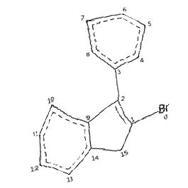 BrC1=C(c2ccccc2)c2ccccc2C1